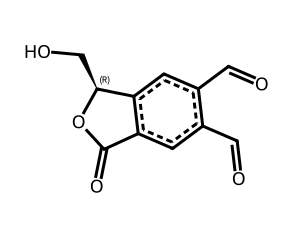 O=Cc1cc2c(cc1C=O)[C@H](CO)OC2=O